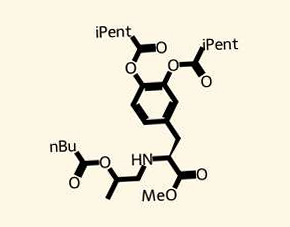 CCCCC(=O)OC(C)CN[C@@H](Cc1ccc(OC(=O)C(C)CCC)c(OC(=O)C(C)CCC)c1)C(=O)OC